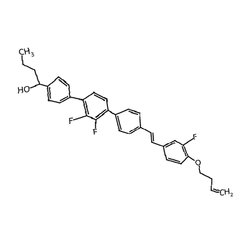 C=CCCOc1ccc(/C=C/c2ccc(-c3ccc(-c4ccc(C(O)CCC)cc4)c(F)c3F)cc2)cc1F